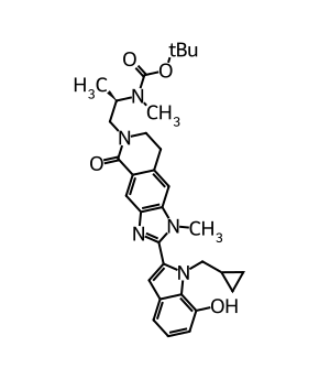 C[C@H](CN1CCc2cc3c(cc2C1=O)nc(-c1cc2cccc(O)c2n1CC1CC1)n3C)N(C)C(=O)OC(C)(C)C